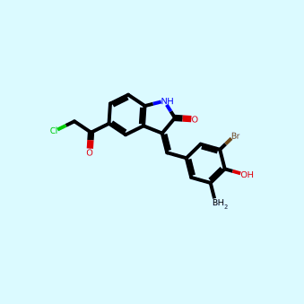 Bc1cc(/C=C2\C(=O)Nc3ccc(C(=O)CCl)cc32)cc(Br)c1O